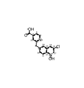 O=C(O)c1ccnc(Cc2ccc3c(cc(Cl)c[n+]3O)c2)c1